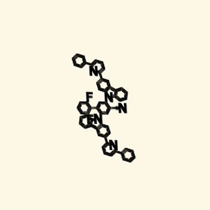 N#Cc1cc(-n2c3ccccc3c3cc(-c4cccc(-c5ccccc5)n4)ccc32)c(-c2c(F)cccc2F)cc1-n1c2ccccc2c2cc(-c3cccc(-c4ccccc4)n3)ccc21